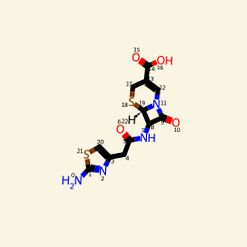 Nc1nc(CC(=O)NC2C(=O)N3C=C(C(=O)O)CS[C@H]23)cs1